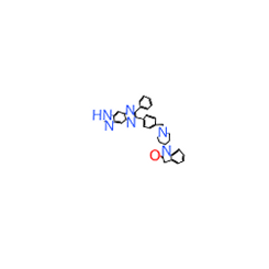 O=C1Cc2ccccc2N1C1CCN(Cc2ccc(-c3nc4cc5nc[nH]c5cc4nc3-c3ccccc3)cc2)CC1